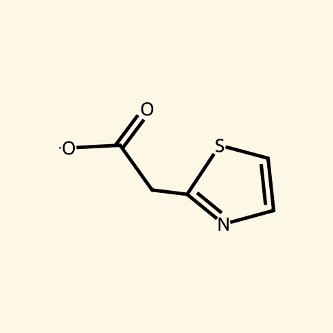 [O]C(=O)Cc1nccs1